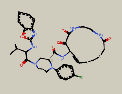 CC(C)C(Nc1nc2ccccc2o1)C(=O)N1CCN(c2ccc(Cl)cc2)[C@@H](C(=O)NC2/C=C/CCCCC(=O)NCCNC(=O)C2=O)C1